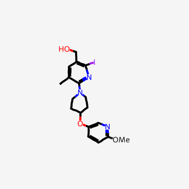 COc1ccc(OC2CCN(c3nc(I)c(CO)cc3C)CC2)cn1